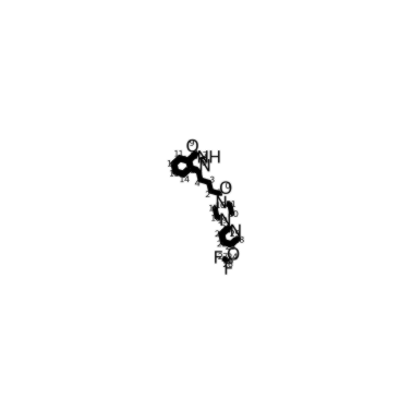 O=C(CCCc1n[nH]c(=O)c2ccccc12)N1CCN(c2ccc(OC(F)F)cn2)CC1